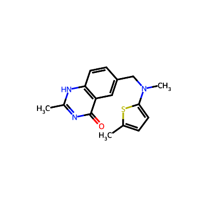 Cc1nc(=O)c2cc(CN(C)c3ccc(C)s3)ccc2[nH]1